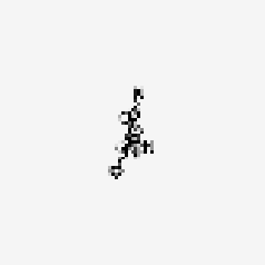 CN(C)CCCOC(=O)N1CCc2c(sc(NC(=O)C=Cc3ccccc3)c2C#N)C1